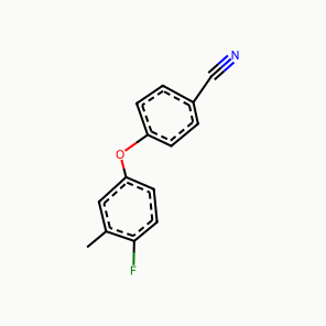 Cc1cc(Oc2ccc(C#N)cc2)ccc1F